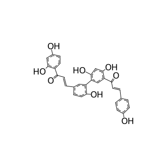 O=C(C=Cc1ccc(O)c(-c2cc(C(=O)C=Cc3ccc(O)cc3)c(O)cc2O)c1)c1ccc(O)cc1O